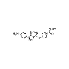 CC(C)OC(=O)N1CCC(Oc2ncnc3c2cnn3-c2ccc(N)cc2)CC1